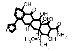 CN(C)[C@@H]1C(O)C(C(N)=O)C(=O)[C@@]2(O)C(O)=C3C(=O)c4c(O)ccc(-c5ccoc5)c4C[C@H]3C[C@@H]12